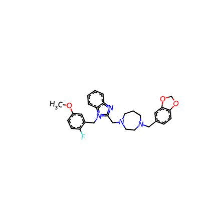 COc1ccc(F)c(Cn2c(CN3CCCN(Cc4ccc5c(c4)OCO5)CC3)nc3ccccc32)c1